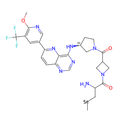 COc1ncc(-c2ccc3ncnc(N[C@H]4CCN(C(=O)C5CN(C(=O)C(N)C[Se]C)C5)C4)c3n2)cc1C(F)(F)F